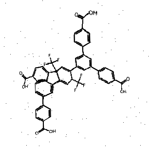 O=C(O)c1ccc(-c2cccc(C3=CC(C(F)(F)F)C(c4cc(-c5ccc(C(=O)O)cc5)cc(-c5ccc(C(=O)O)cc5)c4)=CC3(c3ccc(C(=O)O)cc3)C(F)(F)F)c2)cc1